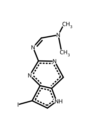 CN(C)/C=N\c1ncc2[nH]cc(I)c2n1